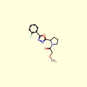 COCC(=O)N1CCCC1c1nnc(-c2ccccc2F)o1